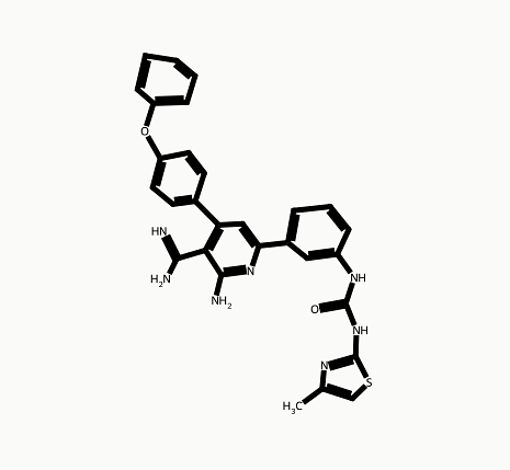 Cc1csc(NC(=O)Nc2cccc(-c3cc(-c4ccc(Oc5ccccc5)cc4)c(C(=N)N)c(N)n3)c2)n1